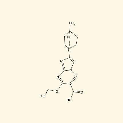 CCOc1nc2nc(C34CCC(C)(CC3)OC4)cn2cc1C(=O)O